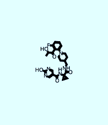 CC(O)C(=O)c1c(F)cccc1N1CCC(CNC(=O)C2(NC(=O)c3cnc(O)nc3)CC2)CC1